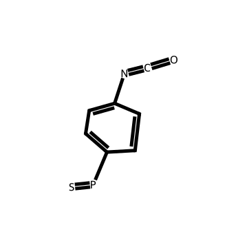 O=C=Nc1ccc(P=S)cc1